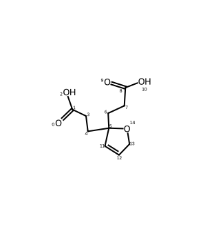 O=C(O)CCC1(CCC(=O)O)C=CCO1